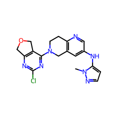 Cn1nccc1Nc1cnc2c(c1)CN(c1nc(Cl)nc3c1COC3)CC2